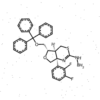 BNC1=N[C@@]2(c3cccc(F)c3F)CO[C@H](COC(c3ccccc3)(c3ccccc3)c3ccccc3)[C@H]2CS1